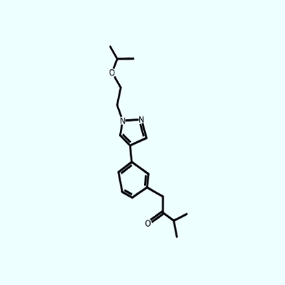 CC(C)OCCn1cc(-c2cccc(CC(=O)C(C)C)c2)cn1